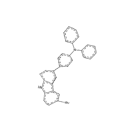 CC(C)(C)c1ccc2[nH]c3ccc(-c4ccc(N(c5ccccc5)c5ccccc5)cc4)cc3c2c1